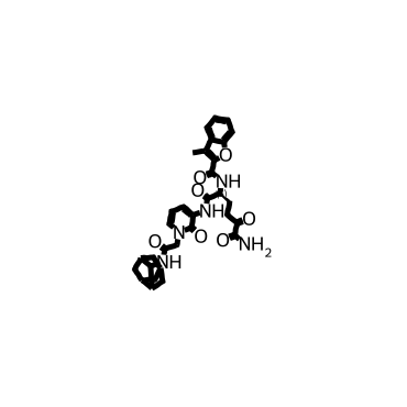 Cc1c(C(=O)N[C@@H](CCC(=O)C(N)=O)C(=O)Nc2cccn(CC(=O)NC3C4CC5CC(C4)C3C5)c2=O)oc2ccccc12